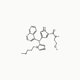 CCCCCn1cncc1C(c1c[nH]c(C(=O)N(C)CCOC)c1)c1cccc2ccccc12